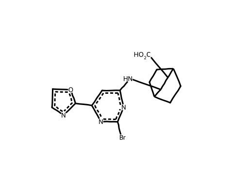 O=C(O)C1C2CCC(CC2)C1Nc1cc(-c2ncco2)nc(Br)n1